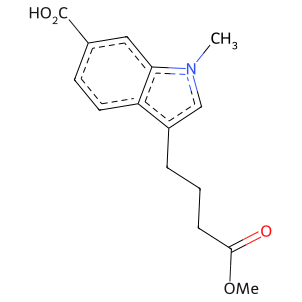 COC(=O)CCCc1cn(C)c2cc(C(=O)O)ccc12